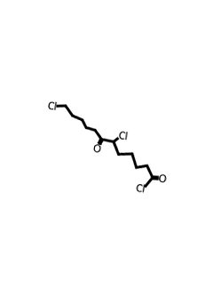 O=C(Cl)CCCCC(Cl)C(=O)CCCCCCl